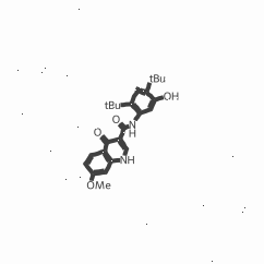 COc1ccc2c(=O)c(C(=O)Nc3cc(O)c(C(C)(C)C)cc3C(C)(C)C)c[nH]c2c1